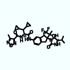 Cc1nonc1C(=O)N[C@H](C(=O)Nc1ccc2c(c1)CC(N1C[C@@H](C(C)C)NC1=O)(C(C)(O)C(F)(F)F)C2)C(C1CC1)C1CC1